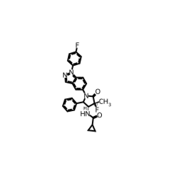 C[C@]1(F)C(=O)N(c2ccc3c(cnn3-c3ccc(F)cc3)c2)C(c2ccccc2)[C@H]1NC(=O)C1CC1